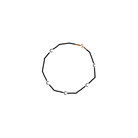 C1CCCCCCSCCCCCC1